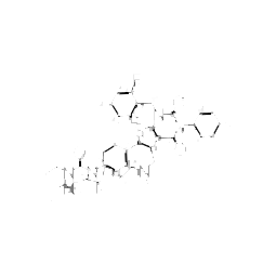 CCNC(=O)Nc1ccc(-c2sc3c(c2CN(C)CCOCCOCC)c(=O)n(-c2ccccc2)c(=O)n3Cc2c(F)cccc2F)cc1